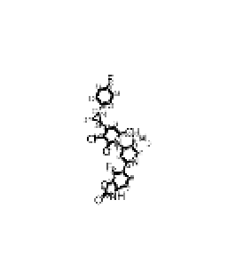 Cc1cnc(-c2ccc3[nH]c(=O)oc3c2F)cc1-n1c(C)cc([C@H]2C[C@@H]2c2ccc(F)cc2)c(Cl)c1=O